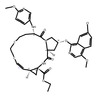 CCOC(=O)[C@@]12C[C@H]1/C=C\CCCCC[C@H](Nc1ccc(OC)nc1)C(=O)N1C[C@H](Oc3ncc(OC)c4ccc(Cl)cc34)C[C@H]1C(=O)N2